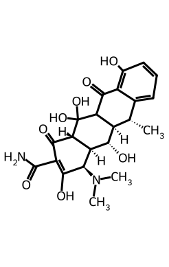 C[C@H]1c2cccc(O)c2C(=O)C2[C@@H]1[C@H](O)[C@H]1[C@@H](N(C)C)C(O)=C(C(N)=O)C(=O)[C@@H]1C2(O)O